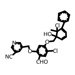 CC1(Cl)C(c2ccccc2)=CC=CC1(O)COc1cc(OCc2cncc(C#N)c2)c(C=O)cc1Cl